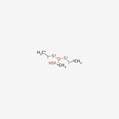 CCSOSCC.CS